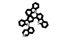 c1cc(-n2c3ccccc3c3ccc(-c4c(-n5c6ccccc6c6ccccc65)ccc5c4sc4ccccc45)cc32)c2ccncc2c1